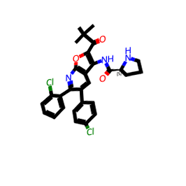 CC(C)(C)C(=O)c1oc2nc(-c3ccccc3Cl)c(-c3ccc(Cl)cc3)cc2c1NC(=O)[C@@H]1CCCN1